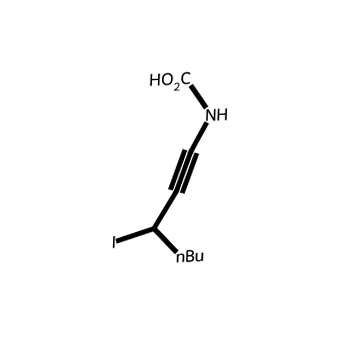 CCCCC(I)C#CNC(=O)O